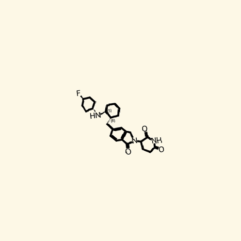 O=C1CCC(N2Cc3cc(C[C@H]4CCCC[C@@H]4N[C@H]4CC[C@H](F)CC4)ccc3C2=O)C(=O)N1